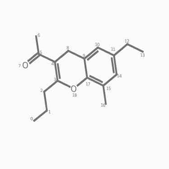 CCCC1=C(C(C)=O)Cc2cc(CC)cc(C)c2O1